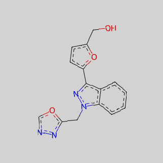 OCc1ccc(-c2nn(Cc3nnco3)c3ccccc23)o1